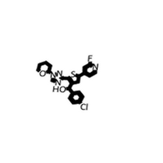 OC(C1=C(c2ncn(C3CCCCO3)n2)SC(c2ccnc(F)c2)C1)c1ccc(Cl)cc1